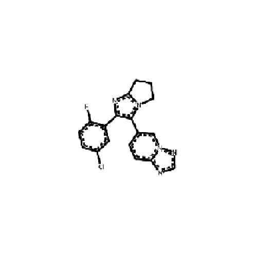 Fc1ccc(Cl)cc1-c1nc2n(c1-c1ccc3ncnn3c1)CCC2